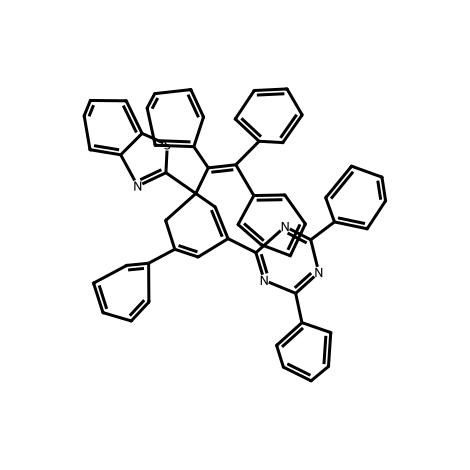 C1=C(c2ccccc2)CC(C(=C(c2ccccc2)c2ccccc2)c2ccccc2)(c2nc3ccccc3s2)C=C1c1nc(-c2ccccc2)nc(-c2ccccc2)n1